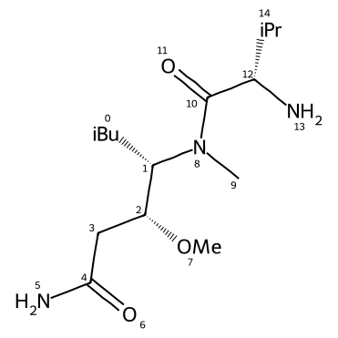 CCC(C)[C@@H]([C@@H](CC(N)=O)OC)N(C)C(=O)[C@@H](N)C(C)C